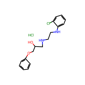 Cl.OC(CNCCNc1ccccc1Cl)COc1ccccc1